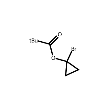 CC(C)(C)C(=O)OC1(Br)CC1